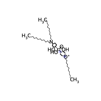 CCCCCCCCCCCC/[O+]=C1C=C/C(=C2/C(=O)C(c3ccc(N(CCCCCCCCCCCC)CCCCCCCCCCCC)cc3O)=C2O)C(O)=C\1